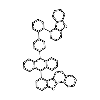 c1ccc(-c2cccc3oc4ccccc4c23)c(-c2ccc(-c3c4ccccc4c(-c4cccc5oc6c7ccccc7ccc6c45)c4ccccc34)cc2)c1